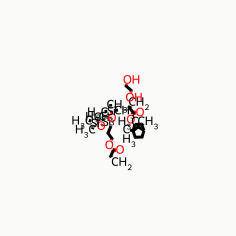 C=CC(=O)OC1CC2CCC1(C)C2(C)C.C=CC(=O)OCCC[Si](C)(O[Si](C)(C)C)O[Si](C)(C)C.OCCO